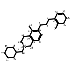 CC1=C(CCCc2ccc3c(c2C)CCN(CC2CCCCC2)C3)C=CCC1